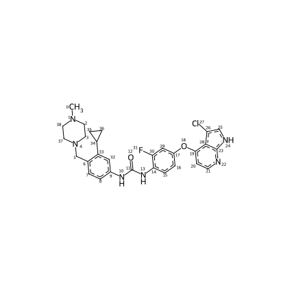 CN1CCN(Cc2ccc(NC(=O)Nc3ccc(Oc4ccnc5[nH]cc(Cl)c45)cc3F)cc2C2CC2)CC1